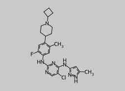 Cc1cc(Nc2nc(Nc3cc(C)c(C4CCN(C5CCC5)CC4)cc3F)ncc2Cl)n[nH]1